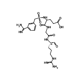 N=C(N)NCCC[C@@H](C=O)NC(=O)CNC(=O)C(CCC(=O)O)NS(=O)(=O)Cc1cccc(C(=N)N)c1